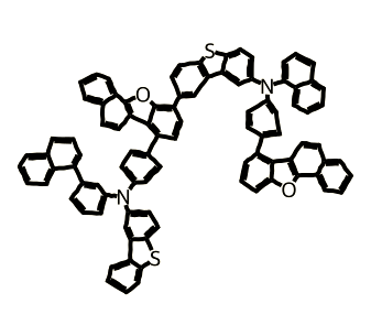 c1cc(-c2cccc3ccccc23)cc(N(c2ccc(-c3ccc(-c4ccc5sc6ccc(N(c7ccc(-c8cccc9oc%10c%11ccccc%11ccc%10c89)cc7)c7cccc8ccccc78)cc6c5c4)c4oc5c6ccccc6ccc5c34)cc2)c2ccc3sc4ccccc4c3c2)c1